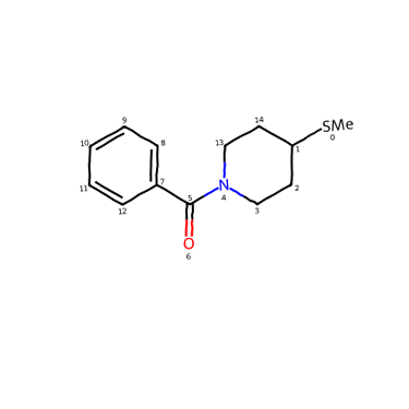 CSC1CCN(C(=O)c2ccccc2)CC1